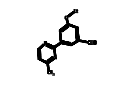 CCOc1cc(C=O)cc(-c2nccc(C(F)(F)F)n2)c1